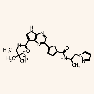 CC(Cn1cccn1)NC(=O)c1ccc(-c2cnc3[nH]cc(C(=O)N[C@@H](C)C(C)(C)C)c3n2)s1